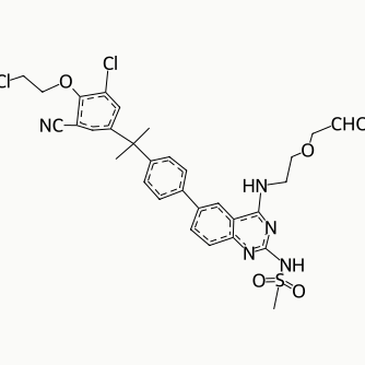 CC(C)(c1ccc(-c2ccc3nc(NS(C)(=O)=O)nc(NCCOCC=O)c3c2)cc1)c1cc(Cl)c(OCCCl)c(C#N)c1